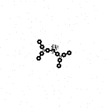 CCSc1c(-c2ccc(N(c3ccc(-c4ccccc4)cc3)c3ccc(-c4ccccc4)cc3)cc2)sc(-c2ccc(N(c3ccc(-c4ccccc4)cc3)c3ccc(-c4ccccc4)cc3)cc2)c1SCC